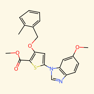 COC(=O)c1sc(-n2cnc3ccc(OC)cc32)cc1OCc1ccccc1C